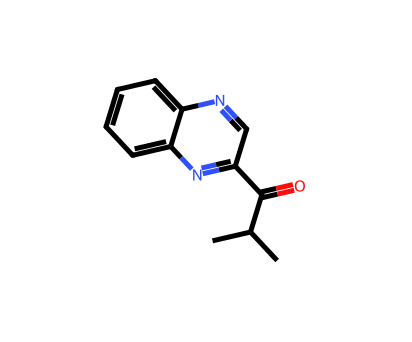 CC(C)C(=O)c1cnc2ccccc2n1